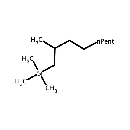 CCCCCCCC(C)C[Si](C)(C)C